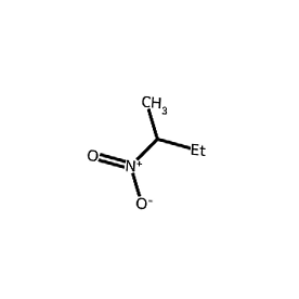 CCC(C)[N+](=O)[O-]